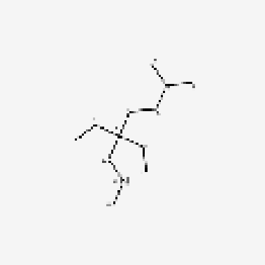 CCC(CC)(CCC(C)C)CNC